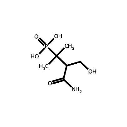 CC(C)(C(CO)C(N)=O)P(=O)(O)O